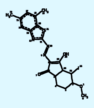 COC1CCC2C(=O)C(N=Nc3nc4cc(C)cc(C)c4s3)=C(O)C2C1I